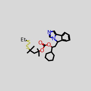 CCSSC(C)(C)CC(C)(C)OC(=O)OC(CC1c2ccccc2-c2cncn21)C1CCCCC1